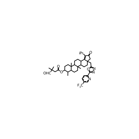 CC(C)C1=C2C3CCC4C(C)(CCC5C(C)C(OC(=O)CC(C)(C)C=O)CCC54C)C3CCC2(Cc2nnc(-c3ccc(C(F)(F)F)cn3)o2)CC1=O